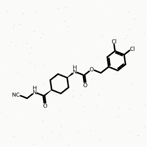 N#CCNC(=O)[C@H]1CC[C@@H](NC(=O)OCc2ccc(Cl)c(Cl)c2)CC1